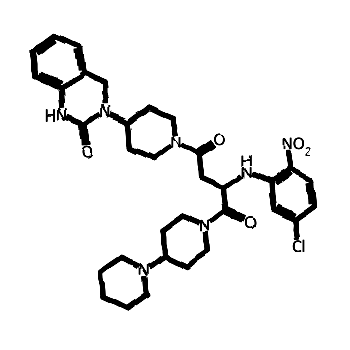 O=C(CC(Nc1cc(Cl)ccc1[N+](=O)[O-])C(=O)N1CCC(N2CCCCC2)CC1)N1CCC(N2Cc3ccccc3NC2=O)CC1